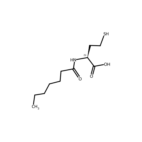 CCCCCCC(=O)N[C@@H](CCS)C(=O)O